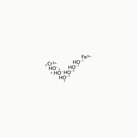 [Cr+3].[Fe+3].[OH-].[OH-].[OH-].[OH-].[OH-].[OH-]